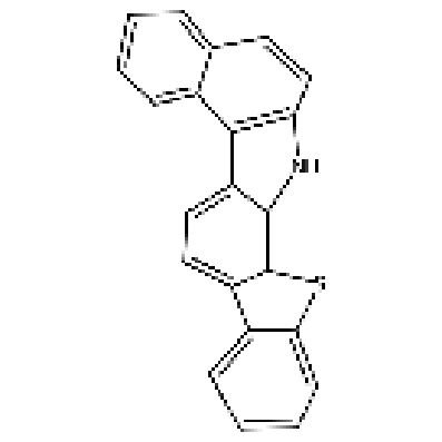 C1=C2c3c(ccc4ccccc34)NC2C2Sc3ccccc3C2=C1